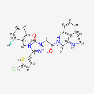 CC(NC(=O)Cn1nc(-c2ccc(Cl)s2)n(Cc2ccccc2F)c1=O)c1nccc2ccccc12